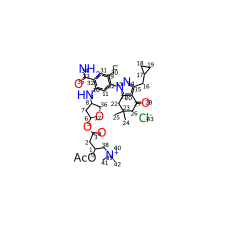 CC(=O)OC(CC(=O)OC1CC(Nc2cc(-n3nc(CC4CC4)c4c3CC(C)(C)CC4=O)c(F)cc2C(N)=O)CO1)C[N+](C)(C)C.[Cl-]